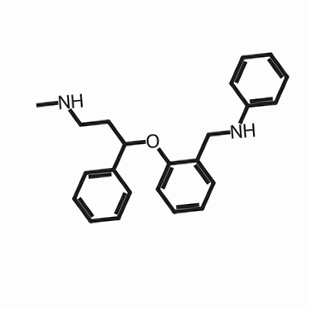 CNCCC(Oc1ccccc1CNc1ccccc1)c1ccccc1